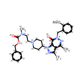 COc1ccccc1Cn1nc(C)c2c(C(F)(F)F)nn(C3CCN(CCN(C)C(=O)OCc4ccccc4)CC3)c2c1=O